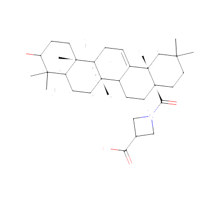 CC1(C)CC[C@]2(C(=O)N3CC(C(=O)O)C3)CC[C@]3(C)C(=CC[C@@H]4[C@@]5(C)CCC(O)C(C)(C)[C@@H]5CC[C@]43C)[C@@H]2C1